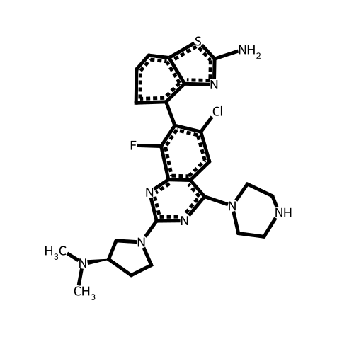 CN(C)[C@@H]1CCN(c2nc(N3CCNCC3)c3cc(Cl)c(-c4cccc5sc(N)nc45)c(F)c3n2)C1